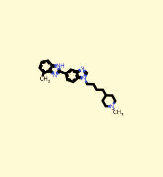 Cc1cccc2[nH]c(-c3ccc4c(c3)ncn4CCCCC3CCN(C)CC3)nc12